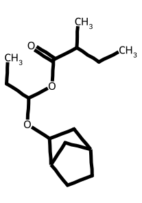 CCC(OC(=O)C(C)CC)OC1CC2CCC1C2